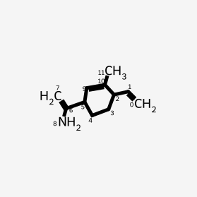 C=CC1CCC(C(=C)N)C=C1C